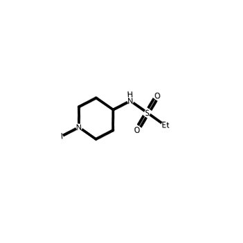 CCS(=O)(=O)NC1CCN(I)CC1